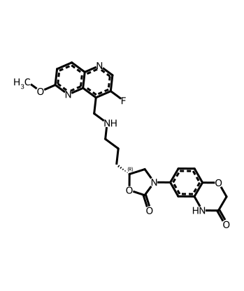 COc1ccc2ncc(F)c(CNCCC[C@@H]3CN(c4ccc5c(c4)NC(=O)CO5)C(=O)O3)c2n1